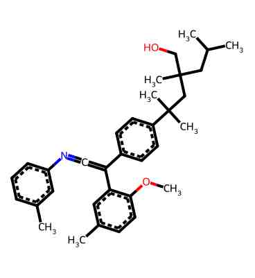 COc1ccc(C)cc1C(=C=Nc1cccc(C)c1)c1ccc(C(C)(C)CC(C)(CO)CC(C)C)cc1